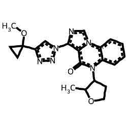 COC1(c2cn(-c3ncn4c3c(=O)n(C3CCOC3C)c3ccccc34)nn2)CC1